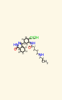 C=CCNCCCCC(=O)Nc1cc(-c2n[nH]c(=O)c3ccccc23)ccc1Cl.Cl